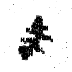 COCc1cc(-c2cc(COC)c(OCC(O)COc3ccccc3-c3ccccc3)c(COC)c2)cc(COC)c1OCC(O)COc1ccccc1-c1ccccc1